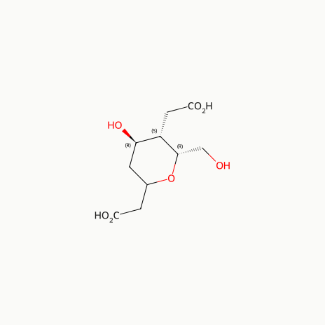 O=C(O)CC1C[C@@H](O)[C@H](CC(=O)O)[C@H](CO)O1